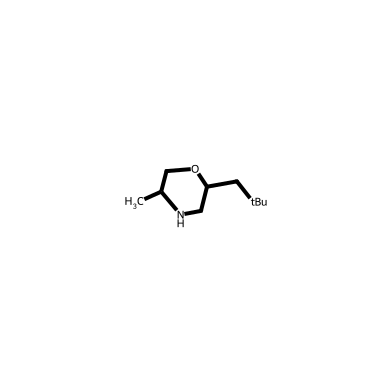 CC1COC(CC(C)(C)C)CN1